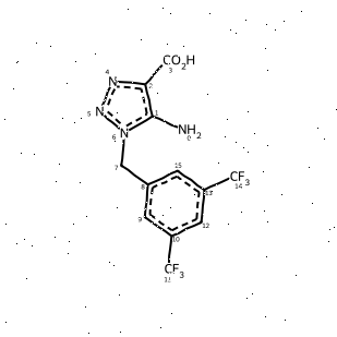 Nc1c(C(=O)O)nnn1Cc1cc(C(F)(F)F)cc(C(F)(F)F)c1